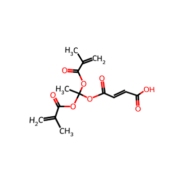 C=C(C)C(=O)OC(C)(OC(=O)C=CC(=O)O)OC(=O)C(=C)C